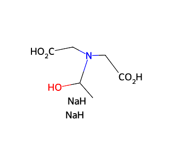 CC(O)N(CC(=O)O)CC(=O)O.[NaH].[NaH]